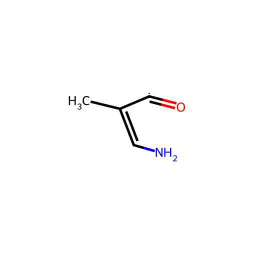 CC([C]=O)=CN